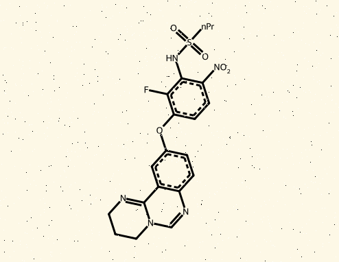 CCCS(=O)(=O)Nc1c([N+](=O)[O-])ccc(Oc2ccc3c(c2)C2=NCCCN2C=N3)c1F